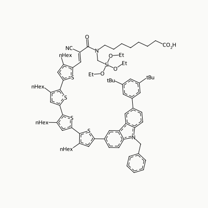 CCCCCCc1cc(-c2sc(-c3sc(-c4sc(-c5ccc6c(c5)c5cc(-c7cc(C(C)(C)C)cc(C(C)(C)C)c7)ccc5n6Cc5ccccc5)cc4CCCCCC)cc3CCCCCC)cc2CCCCCC)sc1/C=C(\C#N)C(=O)N(CCCCCCCC(=O)O)C[Si](OCC)(OCC)OCC